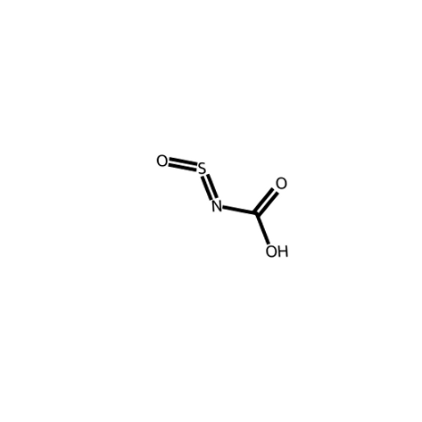 O=S=NC(=O)O